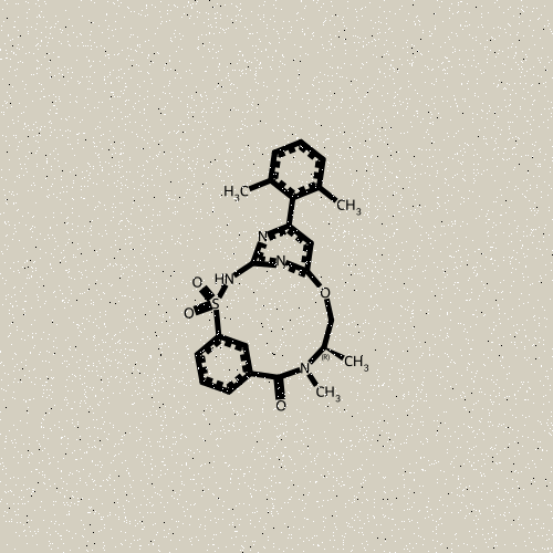 Cc1cccc(C)c1-c1cc2nc(n1)NS(=O)(=O)c1cccc(c1)C(=O)N(C)[C@H](C)CO2